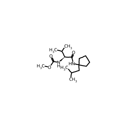 COC(=O)N[C@H](C(=O)NC1(CC(C)C)CCCC1)C(C)C